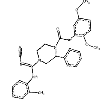 COc1ccc(OC)c(NC(=O)N2CCN(/C(=N\C#N)Nc3ccccc3C)CC2c2ccccc2)c1